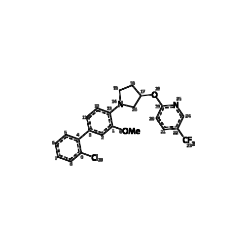 COc1cc(-c2ccccc2Cl)ccc1N1CCC(Oc2ccc(C(F)(F)F)cn2)C1